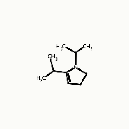 CC(C)C1=CCCN1C(C)C